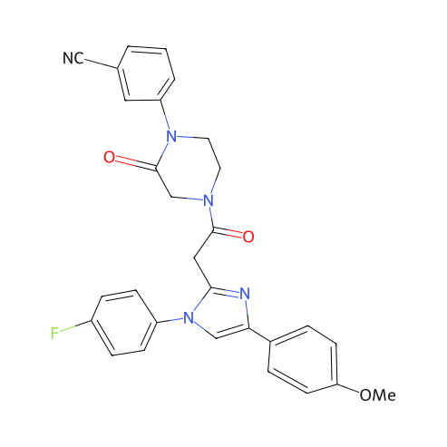 COc1ccc(-c2cn(-c3ccc(F)cc3)c(CC(=O)N3CCN(c4cccc(C#N)c4)C(=O)C3)n2)cc1